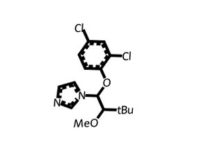 COC(C(Oc1ccc(Cl)cc1Cl)n1ccnc1)C(C)(C)C